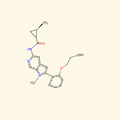 COCCOc1ccccc1-c1cc2cc(NC(=O)C3C[C@H]3C)ncc2n1C